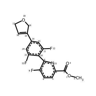 COC(=O)c1ccc(F)c(-c2c(F)cc(C3=CCOC3)cc2F)n1